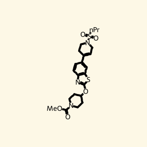 CCCS(=O)(=O)N1CC=C(c2ccc3nc(OC4CCN(C(=O)OC)CC4)sc3c2)CC1